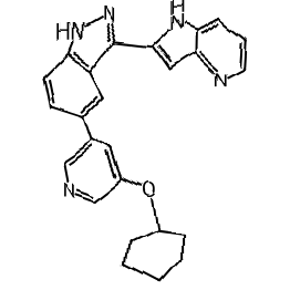 c1cnc2cc(-c3n[nH]c4ccc(-c5cncc(OC6CCCCC6)c5)cc34)[nH]c2c1